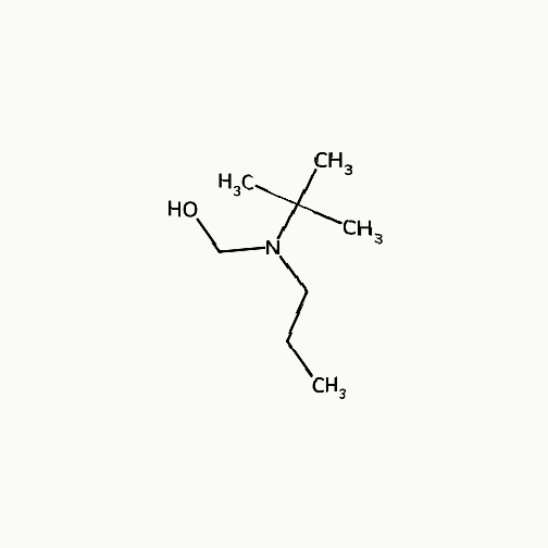 CCCN(CO)C(C)(C)C